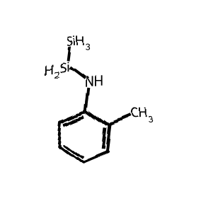 Cc1ccccc1N[SiH2][SiH3]